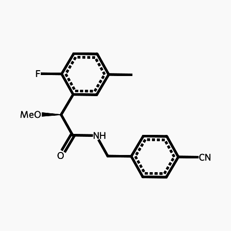 CO[C@H](C(=O)NCc1ccc(C#N)cc1)c1cc(C)ccc1F